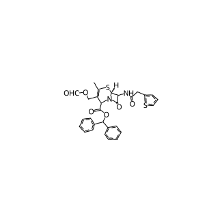 CC1=C(COC=O)C(C(=O)OC(c2ccccc2)c2ccccc2)N2C(=O)C(NC(=O)Cc3cccs3)[C@H]2S1